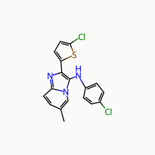 Cc1ccc2nc(-c3ccc(Cl)s3)c(Nc3ccc(Cl)cc3)n2c1